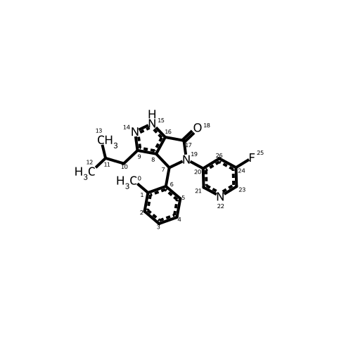 Cc1ccccc1C1c2c(CC(C)C)n[nH]c2C(=O)N1c1cncc(F)c1